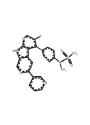 CN(c1ccc(-c2c(F)cnc3[nH]c4cnc(-c5cccnc5)cc4c23)cc1)S(C)(=O)=O